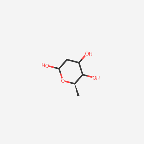 C[C@H]1OC(O)CC(O)C1O